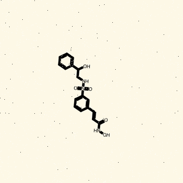 O=C(/C=C/c1cccc(S(=O)(=O)NCC(O)c2ccccc2)c1)NO